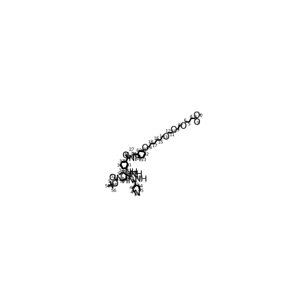 COC(=O)CCCOCCOCCOCCCCCCOc1cccc([C@@H](C)NC(=O)c2cccc(NC3(C(=N)NC(=N)c4ccncc4)CCN(C(=O)OC(C)(C)C)CC3)c2)c1